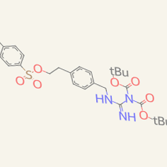 Cc1ccc(S(=O)(=O)OCCc2ccc(CNC(=N)N(C(=O)OC(C)(C)C)C(=O)OC(C)(C)C)cc2)cc1